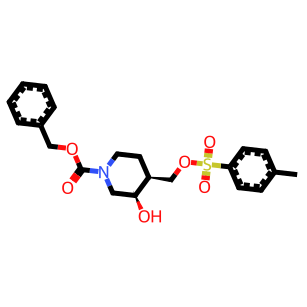 Cc1ccc(S(=O)(=O)OC[C@@H]2CCN(C(=O)OCc3ccccc3)C[C@@H]2O)cc1